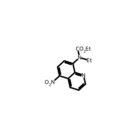 CCOC(=O)N(CC)c1ccc([N+](=O)[O-])c2cccnc12